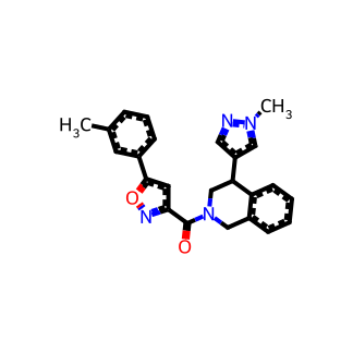 Cc1cccc(-c2cc(C(=O)N3Cc4ccccc4C(c4cnn(C)c4)C3)no2)c1